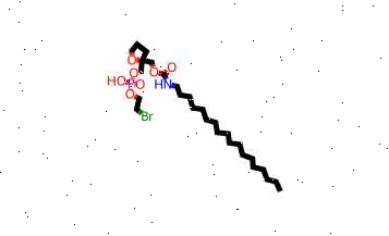 CCCCCCCCCCCCCCCCCCNC(=O)OCC1(COP(=O)(O)OCCBr)CCCO1